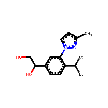 CCC(CC)c1ccc(C(O)CO)cc1-n1ccc(C)n1